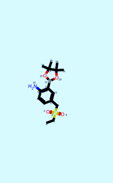 CCS(=O)(=O)Cc1ccc(N)c(B2OC(C)(C)C(C)(C)O2)c1